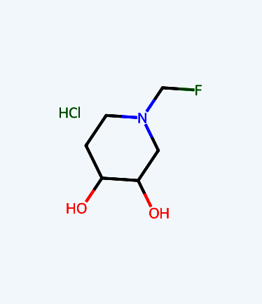 Cl.OC1CCN(CF)CC1O